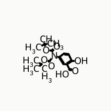 CC(C)(C)OC(=O)N(C(=O)OC(C)(C)C)c1ccc(O)c(C(=O)O)c1